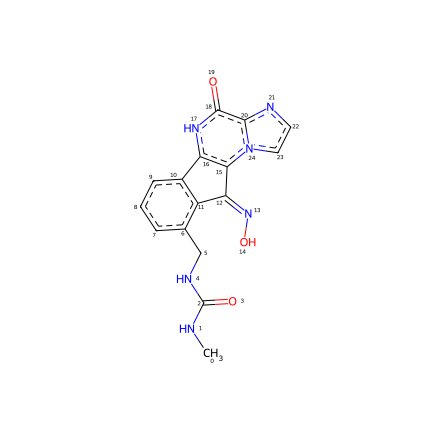 CNC(=O)NCc1cccc2c1C(=NO)c1c-2[nH]c(=O)c2nccn12